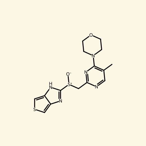 Cc1cnc(C[S+]([O-])c2nc3cscc3[nH]2)nc1N1CCOCC1